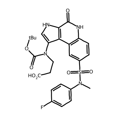 CN(c1ccc(F)cc1)S(=O)(=O)c1ccc2[nH]c(=O)c3[nH]cc(N(CCC(=O)O)C(=O)OC(C)(C)C)c3c2c1